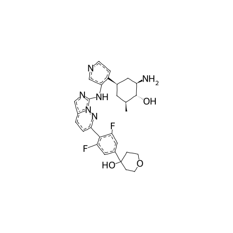 C[C@H]1C[C@@H](c2ccncc2Nc2ncc3ccc(-c4c(F)cc(C5(O)CCOCC5)cc4F)nn23)C[C@@H](N)[C@@H]1O